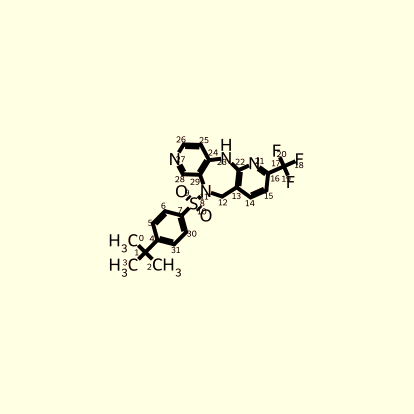 CC(C)(C)c1ccc(S(=O)(=O)N2Cc3ccc(C(F)(F)F)nc3Nc3ccncc32)cc1